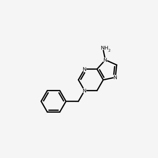 Nn1cnc2c1N=CN(Cc1ccccc1)C2